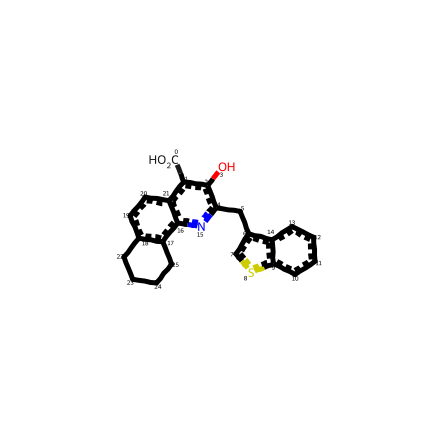 O=C(O)c1c(O)c(Cc2csc3ccccc23)nc2c3c(ccc12)CCCC3